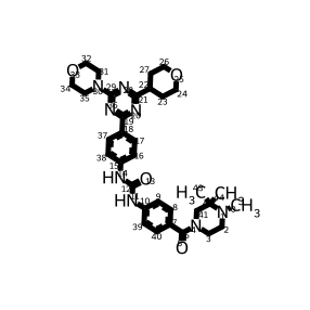 CN1CCN(C(=O)c2ccc(NC(=O)Nc3ccc(-c4nc(C5CCOCC5)nc(N5CCOCC5)n4)cc3)cc2)CC1(C)C